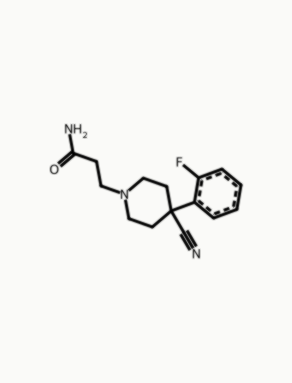 N#CC1(c2ccccc2F)CCN(CCC(N)=O)CC1